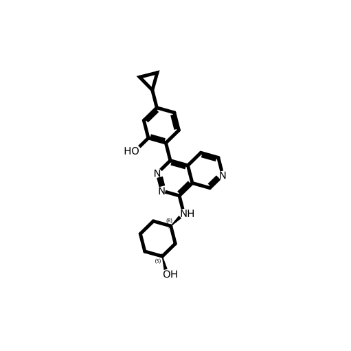 Oc1cc(C2CC2)ccc1-c1nnc(N[C@@H]2CCC[C@H](O)C2)c2cnccc12